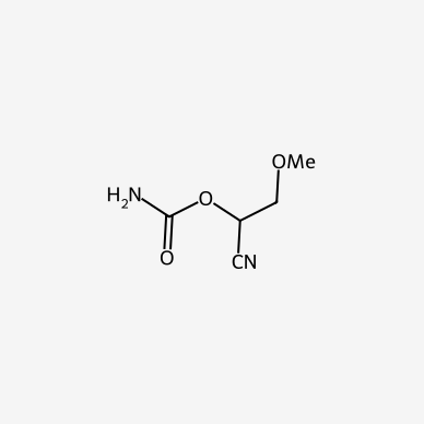 COCC(C#N)OC(N)=O